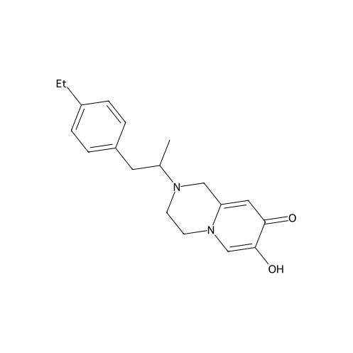 CCc1ccc(CC(C)N2CCn3cc(O)c(=O)cc3C2)cc1